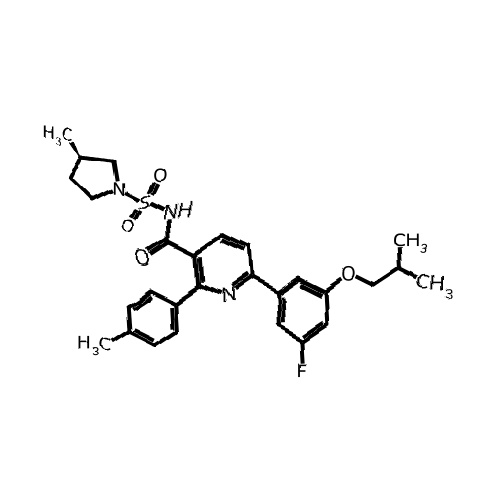 Cc1ccc(-c2nc(-c3cc(F)cc(OCC(C)C)c3)ccc2C(=O)NS(=O)(=O)N2CC[C@@H](C)C2)cc1